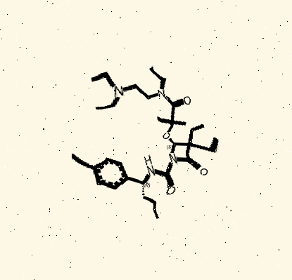 CCC[C@@H](NC(=O)N1C(=O)C(CC)(CC)[C@@H]1OC(C)(C)C(=O)N(CC)CCN(CC)CC)c1ccc(C)cc1